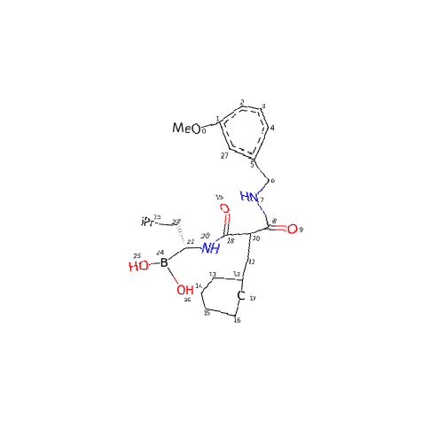 COc1cccc(CNC(=O)C(CC2CCCCC2)C(=O)N[C@@H](CC(C)C)B(O)O)c1